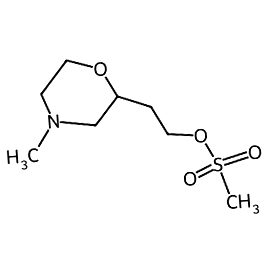 CN1CCOC(CCOS(C)(=O)=O)C1